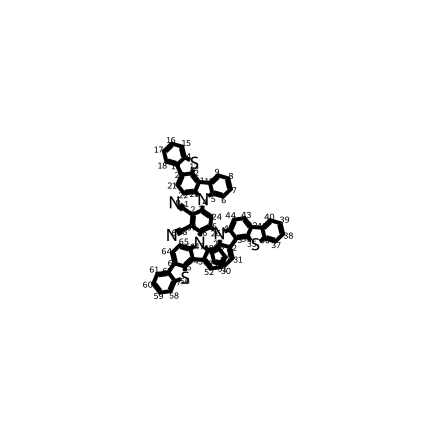 N#Cc1c(-n2c3ccccc3c3c4sc5ccccc5c4ccc32)cc(-n2c3ccccc3c3c4sc5ccccc5c4ccc32)c(-n2c3ccccc3c3c4sc5ccccc5c4ccc32)c1C#N